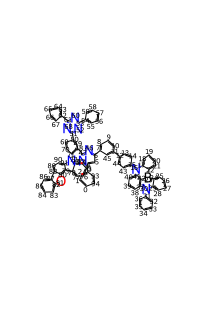 c1ccc(-c2cc(-c3cccc(-c4ccc(N5c6ccccc6B6c7ccccc7N(c7ccccc7)c7cccc5c76)cc4)c3)nc(-c3cc(-c4nc(-c5ccccc5)nc(-c5ccccc5)n4)ccc3-n3c4ccccc4c4c5oc6ccccc6c5ccc43)n2)cc1